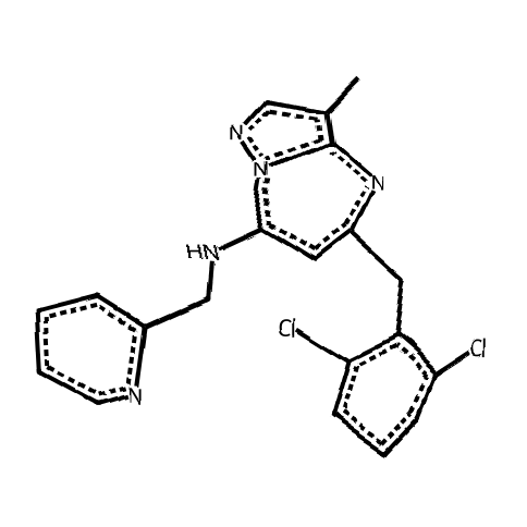 Cc1cnn2c(NCc3ccccn3)cc(Cc3c(Cl)cccc3Cl)nc12